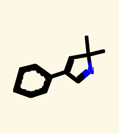 CC1(C)C=C(c2ccccc2)C=N1